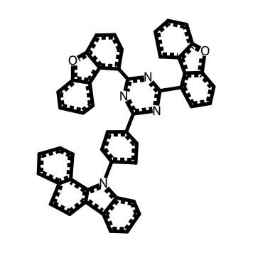 c1ccc2c(c1)ccc1c3ccccc3n(-c3ccc(-c4nc(-c5cccc6oc7ccccc7c56)nc(-c5cccc6oc7ccccc7c56)n4)cc3)c21